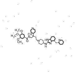 COc1cc(C(=O)N(C)CC(CCN2CCC(Nc3nc4c(Cc5ccccn5)cccc4[nH]3)CC2)c2ccncc2)cc(OC)c1OC